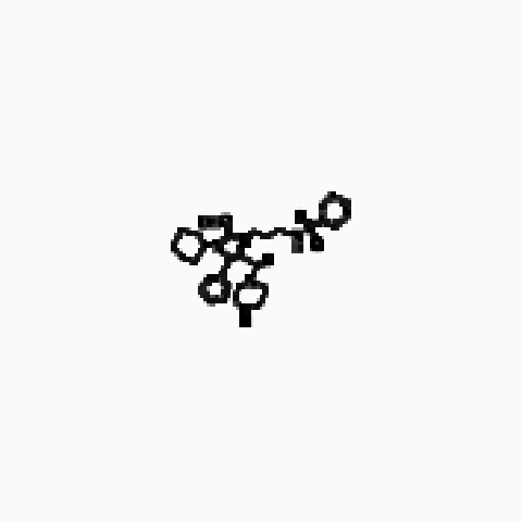 O=C(c1c(-c2ccccc2)n(C2CCCC[C@@H]2O)c(=O)n1CCCNS(=O)(=O)c1ccccc1)N1CCNCC1